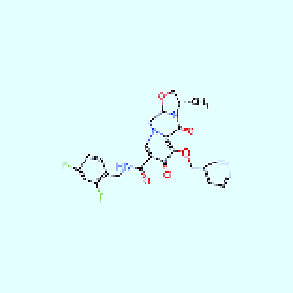 C[C@H]1COC2Cn3cc(C(=O)NCc4ccc(F)cc4F)c(=O)c(OCc4ccccc4)c3C(=O)N21